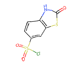 O=c1[nH]c2ccc(S(=O)(=O)Cl)cc2s1